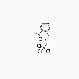 CC(=O)c1ccccc1CCCC(Cl)(Cl)Cl